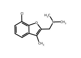 Cc1c(CN(C)C)oc2c(Cl)cccc12